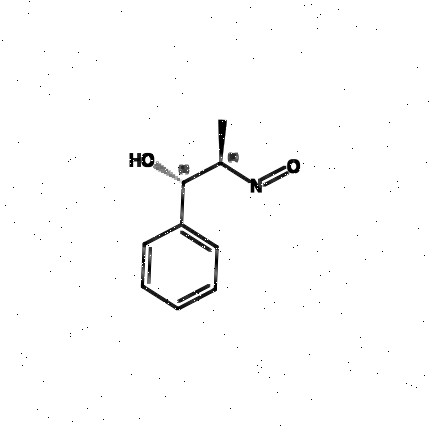 C[C@@H](N=O)[C@@H](O)c1ccccc1